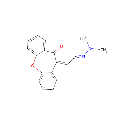 CN(C)N=CC=C1C(=O)c2ccccc2Oc2ccccc21